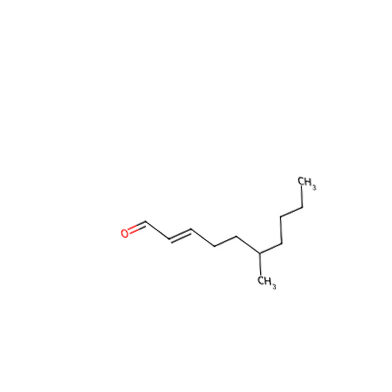 CCCCC(C)CCC=CC=O